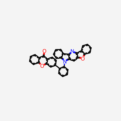 O=c1c2ccccc2oc2cc(-c3ccccc3-n3c4ccccc4c4nc5c(cc43)oc3ccccc35)ccc12